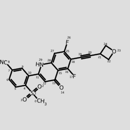 CS(=O)(=O)c1ccc(C#N)cc1-c1cc(=O)c2c(F)c(C#CC3COC3)c(F)cc2[nH]1